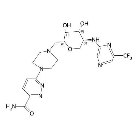 NC(=O)c1ccc(N2CCN(C[C@H]3OC[C@H](Nc4cncc(C(F)(F)F)n4)[C@@H](O)[C@H]3O)CC2)nn1